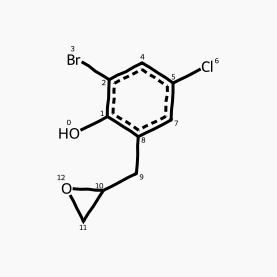 Oc1c(Br)cc(Cl)cc1CC1CO1